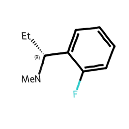 CC[C@@H](NC)c1ccccc1F